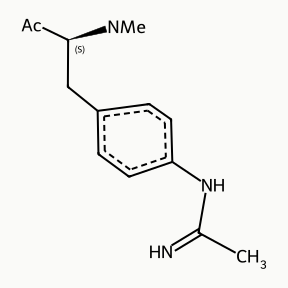 CN[C@@H](Cc1ccc(NC(C)=N)cc1)C(C)=O